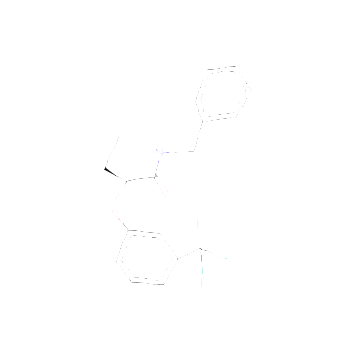 CC[C@H](Oc1cccc(C(F)(F)F)c1)C(=O)NCc1ccccc1